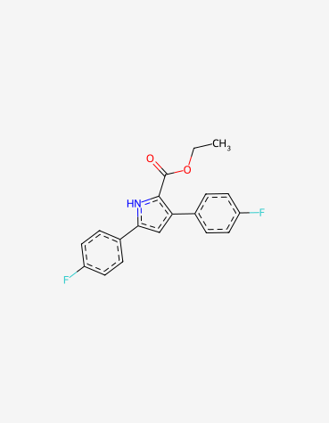 CCOC(=O)c1[nH]c(-c2ccc(F)cc2)cc1-c1ccc(F)cc1